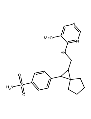 COc1cncnc1NCC1C(c2ccc(S(N)(=O)=O)cc2)C12CCCC2